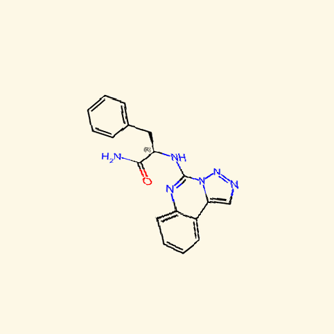 NC(=O)[C@@H](Cc1ccccc1)Nc1nc2ccccc2c2cnnn12